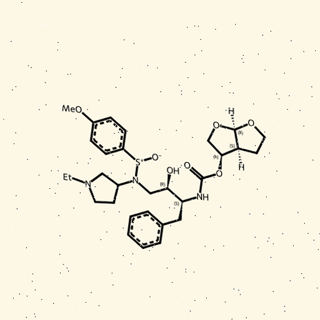 CCN1CCC(N(C[C@@H](O)[C@H](Cc2ccccc2)NC(=O)O[C@H]2CO[C@H]3OCC[C@H]32)[S+]([O-])c2ccc(OC)cc2)C1